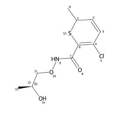 CC1C=CC(Cl)=C(C(=O)NOC[C@H](C)O)S1